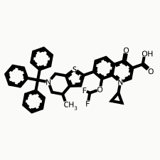 CC1CN(C(c2ccccc2)(c2ccccc2)c2ccccc2)Cc2sc(-c3ccc4c(=O)c(C(=O)O)cn(C5CC5)c4c3OC(F)F)cc21